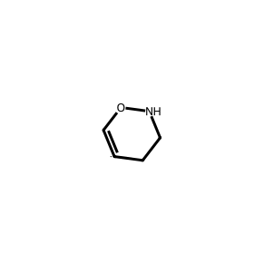 [C]1=CONCC1